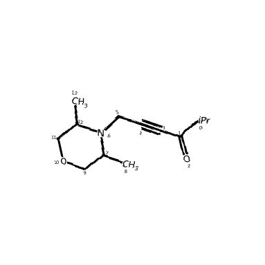 CC(C)C(=O)C#CCN1C(C)COCC1C